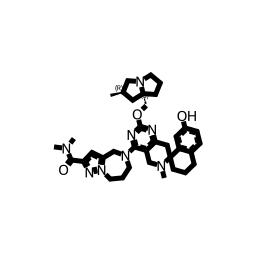 C[C@H]1CN2CCC[C@@]2(COc2nc3c(c(N4CCCn5nc(C(=O)N(C)C)cc5C4)n2)CN(C)C2(CCCc4ccc(O)cc42)C3)C1